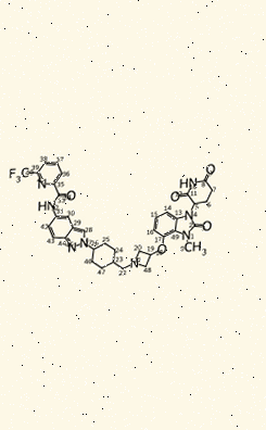 Cn1c(=O)n(C2CCC(=O)NC2=O)c2cccc(OC3CN(CC4CCC(n5cc6cc(NC(=O)c7cccc(C(F)(F)F)n7)ccc6n5)CC4)C3)c21